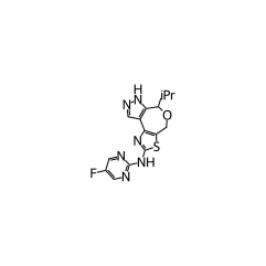 CC(C)C1OCc2sc(Nc3ncc(F)cn3)nc2-c2cn[nH]c21